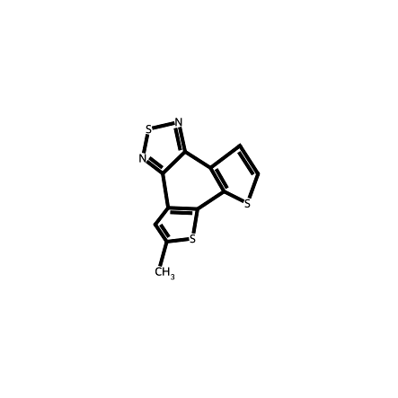 Cc1cc2c3nsnc3c3ccsc3c2s1